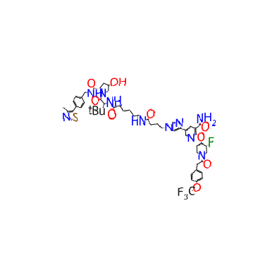 Cc1ncsc1-c1ccc(CNC(=O)[C@@H]2C[C@@H](O)CN2C(=O)C(NC(=O)CCCCCNC(=O)CCCn2cnc(-c3cnc(O[C@@H]4CCN(C(=O)Cc5ccc(OC(F)(F)F)cc5)C[C@H]4F)c(C(N)=O)c3)c2)C(C)(C)C)cc1